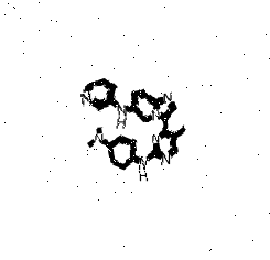 Cc1cnc(NC2CCC(N(C)C)CC2)nc1-c1cnc2ccc(Nc3cccnc3)cn12